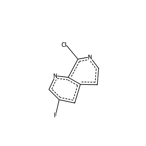 Fc1cnc2c(Cl)nccc2c1